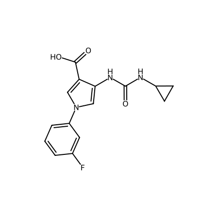 O=C(Nc1cn(-c2cccc(F)c2)cc1C(=O)O)NC1CC1